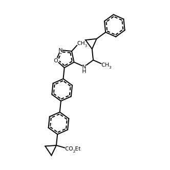 CCOC(=O)C1(c2ccc(-c3ccc(-c4onc(C)c4NC(C)C4CC4c4ccccc4)cc3)cc2)CC1